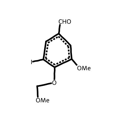 COCOc1c(I)cc(C=O)cc1OC